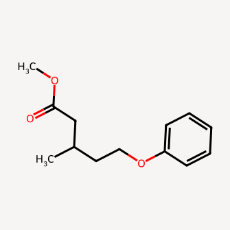 COC(=O)CC(C)CCOc1ccccc1